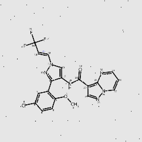 COc1ccc(Cl)cc1-c1nn(/C=C/C(F)(F)F)cc1NC(=O)c1cnn2cccnc12